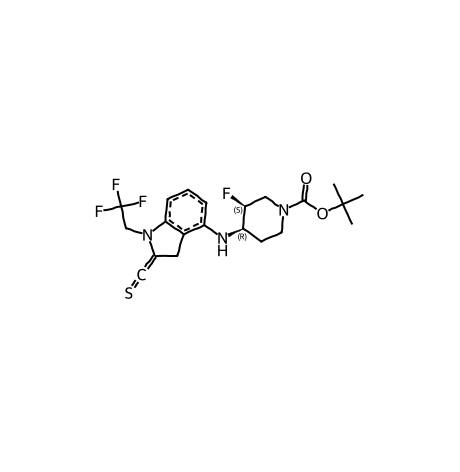 CC(C)(C)OC(=O)N1CC[C@@H](Nc2cccc3c2CC(=C=S)N3CC(F)(F)F)[C@@H](F)C1